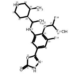 CC(Nc1cc(-c2n[nH]c(=O)o2)cc(F)c1OC(F)F)[C@H]1CCNC[C@H]1C.Cl